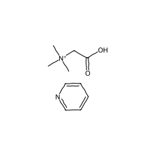 C[N+](C)(C)CC(=O)O.c1ccncc1